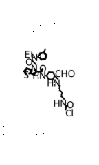 CCN(C(=O)Cn1c(C(=O)NC2CCC(C=O)(CNCCCCCNC(=O)CCl)CC2)cc2sccc21)c1cccc(C)c1